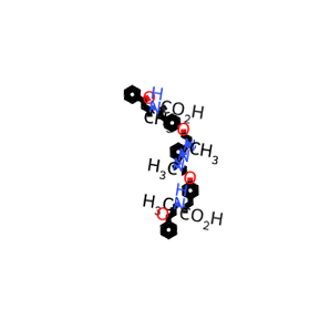 CC(=CC(=O)c1ccccc1)NC(Cc1ccc(OCCN(C)c2cccc(N(C)CCOc3ccc(CC(NC(C)=CC(=O)c4ccccc4)C(=O)O)cc3)n2)cc1)C(=O)O